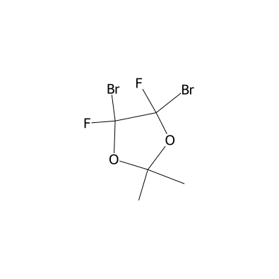 CC1(C)OC(F)(Br)C(F)(Br)O1